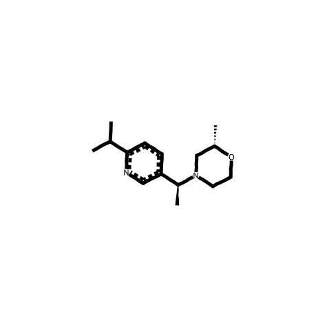 CC(C)c1ccc([C@H](C)N2CCO[C@@H](C)C2)cn1